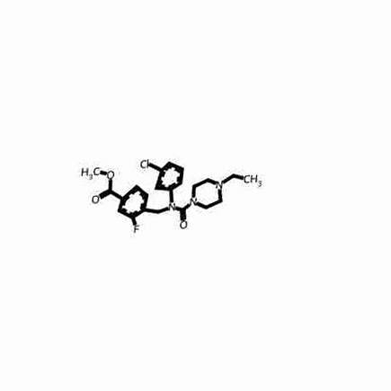 CCN1CCN(C(=O)N(Cc2ccc(C(=O)OC)cc2F)c2cccc(Cl)c2)CC1